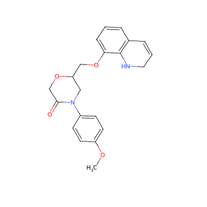 COc1ccc(N2CC(COc3cccc4c3NCC=C4)OCC2=O)cc1